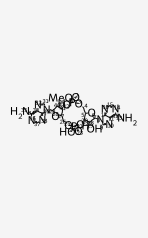 COP1(=O)OCC2O[C@@H](n3cnc4c(N)ncnc43)[C@H](O)[C@@H]2OP(=O)(O)OCC2O[C@@H](n3cnc4c(N)ncnc43)C[C@@H]2O1